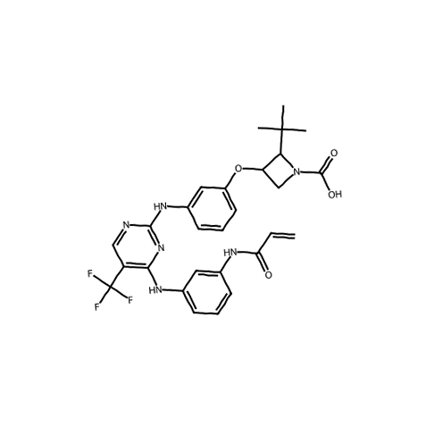 C=CC(=O)Nc1cccc(Nc2nc(Nc3cccc(OC4CN(C(=O)O)C4C(C)(C)C)c3)ncc2C(F)(F)F)c1